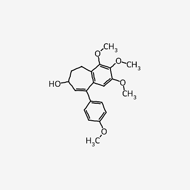 COc1ccc(C2=CC(O)CCc3c2cc(OC)c(OC)c3OC)cc1